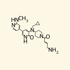 CNc1cc(-c2c[nH]c(=O)c(N(CC3CC3)C3CCN(C(=O)C=CCN)CC3)c2)ccn1